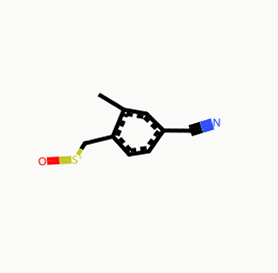 Cc1cc(C#N)ccc1C[S+]=O